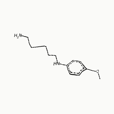 COc1ccc(NCCCCCN)cc1